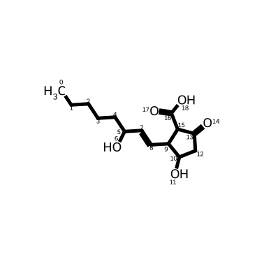 CCCCCC(O)C=CC1C(O)CC(=O)C1C(=O)O